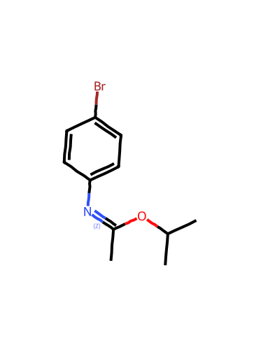 C/C(=N/c1ccc(Br)cc1)OC(C)C